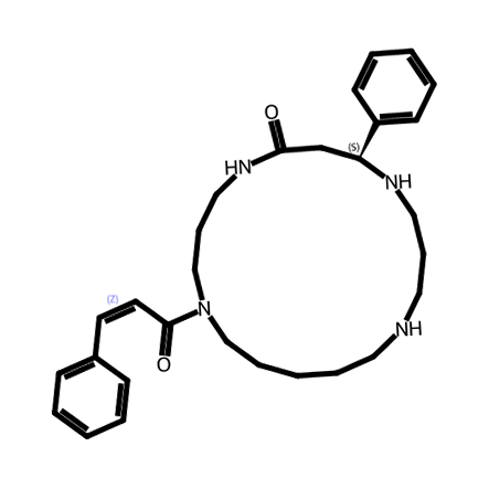 O=C1C[C@@H](c2ccccc2)NCCCNCCCCCN(C(=O)/C=C\c2ccccc2)CCCN1